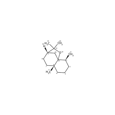 C[C@H]1CCC[C@]2(C)CC[C@H]3CC12OC3(C)C